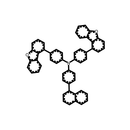 c1ccc2c(-c3ccc(N(c4ccc(-c5cccc6oc7ccccc7c56)cc4)c4ccc(-c5cccc6oc7ccccc7c56)cc4)cc3)cccc2c1